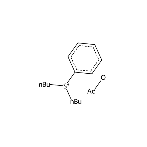 CC(=O)[O-].CCCC[S+](CCCC)c1ccccc1